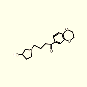 O=C(CCCN1CCC(O)C1)c1ccc2c(c1)OCCO2